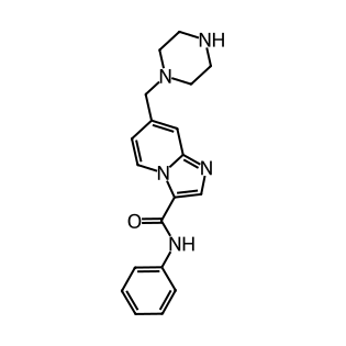 O=C(Nc1ccccc1)c1cnc2cc(CN3CCNCC3)ccn12